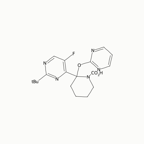 CC(C)(C)c1ncc(F)c(C2(Oc3ncccn3)CCCCN2C(=O)O)n1